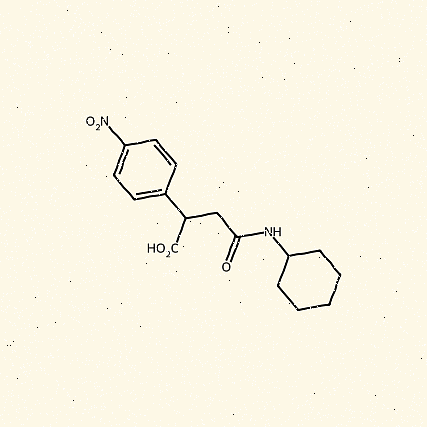 O=C(CC(C(=O)O)c1ccc([N+](=O)[O-])cc1)NC1CCCCC1